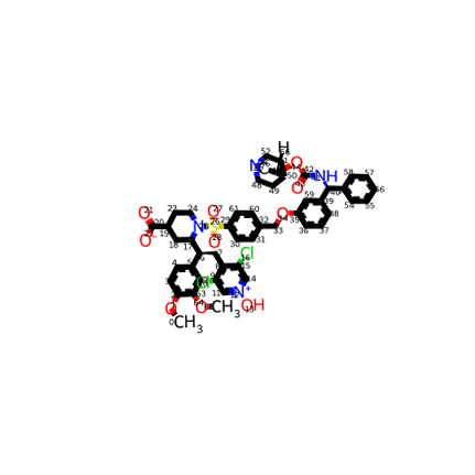 COc1ccc([C@H](Cc2c(Cl)c[n+](O)cc2Cl)C2CC(C(=O)[O-])CCN2S(=O)(=O)c2ccc(COc3cccc([C@@H](NC(=O)O[C@H]4CN5CCC4CC5)c4ccccc4)c3)cc2)cc1OC